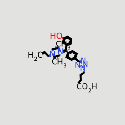 C=CCN1C[C@H](C)N([C@H](c2ccc(-c3nnn(CCCCC(=O)O)n3)cc2)c2cccc(O)c2)C[C@H]1C